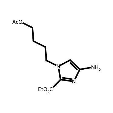 CCOC(=O)c1nc(N)cn1CCCCOC(C)=O